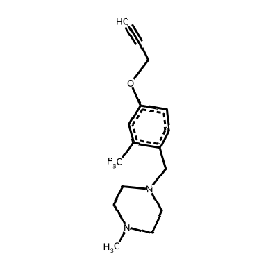 C#CCOc1ccc(CN2CCN(C)CC2)c(C(F)(F)F)c1